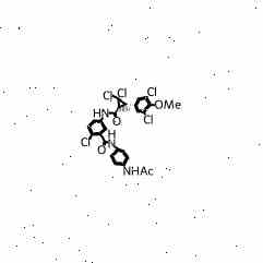 COc1c(Cl)cc([C@@H]2[C@@H](C(=O)Nc3ccc(Cl)c(C(=O)Nc4ccc(NC(C)=O)cc4)c3)C2(Cl)Cl)cc1Cl